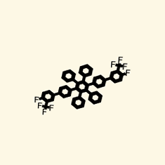 Fc1ccc(-c2ccc(-c3c(-c4ccccc4)c(-c4ccccc4)c(-c4ccc(-c5ccc(F)c(C(F)(F)F)c5)cc4)c(-c4ccccc4)c3-c3ccccc3)cc2)cc1C(F)(F)F